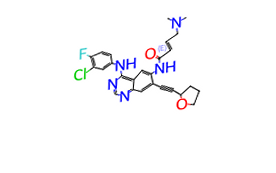 CN(C)C/C=C/C(=O)Nc1cc2c(Nc3ccc(F)c(Cl)c3)ncnc2cc1C#CC1CCCO1